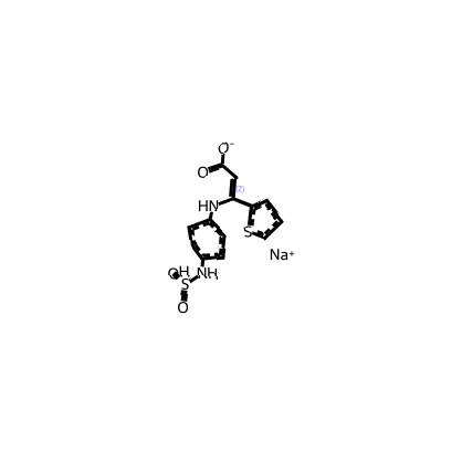 O=C([O-])/C=C(\Nc1ccc(N[SH](=O)=O)cc1)c1cccs1.[Na+]